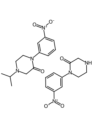 CC(C)N1CCN(c2cccc([N+](=O)[O-])c2)C(=O)C1.O=C1CNCCN1c1cccc([N+](=O)[O-])c1